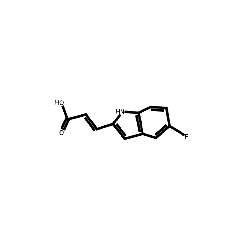 O=C(O)C=Cc1cc2cc(F)ccc2[nH]1